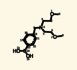 COCCN(CCOC)Cc1ccc(B(O)O)cc1